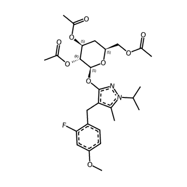 COc1ccc(Cc2c(O[C@@H]3O[C@H](COC(C)=O)C[C@H](OC(C)=O)[C@H]3OC(C)=O)nn(C(C)C)c2C)c(F)c1